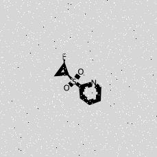 O=S(=O)(c1ccccn1)[C@H]1C[C@@H]1F